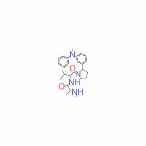 CNC(C)C(=O)NC(C(=O)N1CCCC1c1cccc(N(C)c2ccccc2)c1)C(C)C